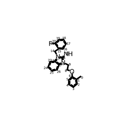 Cc1ccccc1OCCn1c(=N)n(Cc2ccccc2F)c2ccccc21